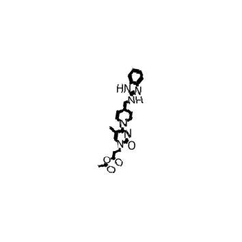 CC(=O)OC(=O)CCn1cc(C)c(N2CCC(CNc3nc4ccccc4[nH]3)CC2)nc1=O